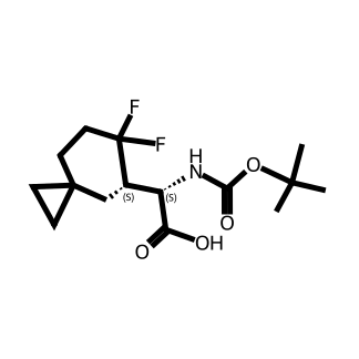 CC(C)(C)OC(=O)N[C@H](C(=O)O)[C@@H]1CC2(CC2)CCC1(F)F